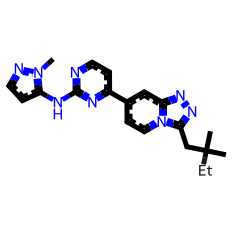 CCC(C)(C)Cc1nnc2cc(-c3ccnc(Nc4ccnn4C)n3)ccn12